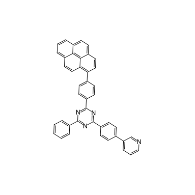 c1ccc(-c2nc(-c3ccc(-c4cccnc4)cc3)nc(-c3ccc(-c4ccc5ccc6cccc7ccc4c5c67)cc3)n2)cc1